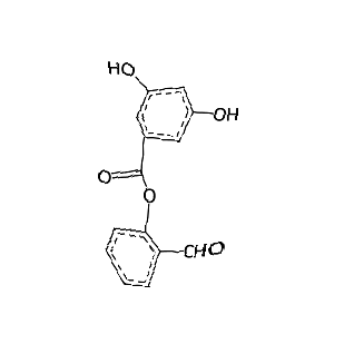 O=Cc1ccccc1OC(=O)c1cc(O)cc(O)c1